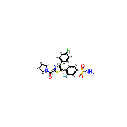 NS(=O)(=O)c1ccc(-c2sc(C(=O)N3CCCC3)nc2-c2ccc(Cl)cc2)c(F)c1